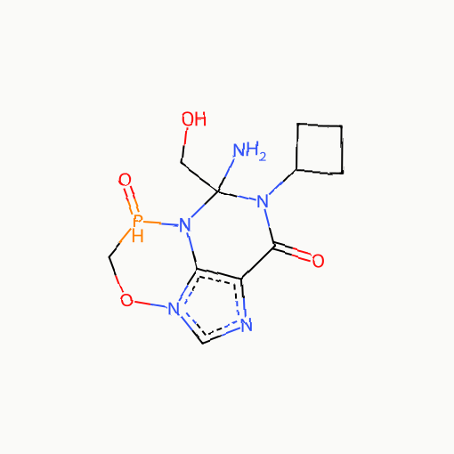 NC1(CO)N(C2CCC2)C(=O)c2ncn3c2N1[PH](=O)CO3